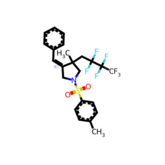 Cc1ccc(S(=O)(=O)N2C/C(=C/c3ccccc3)C(C)(CC(F)(F)C(F)(F)C(F)(F)F)C2)cc1